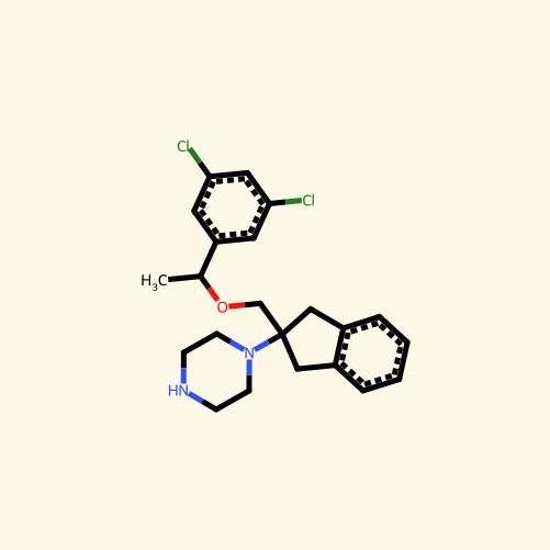 CC(OCC1(N2CCNCC2)Cc2ccccc2C1)c1cc(Cl)cc(Cl)c1